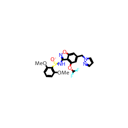 COc1cccc(OC)c1[S+]([O-])Nc1noc2cc(Cn3cccn3)cc(OC(F)F)c12